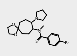 CN(C(=S)c1ccc(Br)cc1)C1CCC2(CCC1N1CCCC1)OCCO2